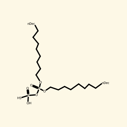 CCCCCCCCCCCCCCCCCCOP(=O)(OCCCCCCCCCCCCCCCCCC)OP(=O)(O)S